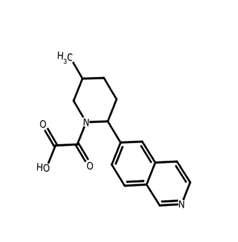 CC1CCC(c2ccc3cnccc3c2)N(C(=O)C(=O)O)C1